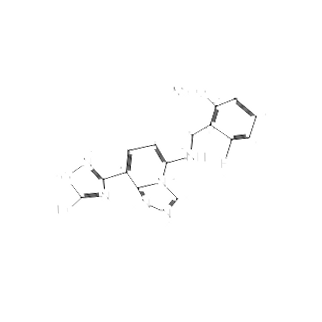 CCc1nc(-c2ccc(NCc3c(F)cccc3OC)n3cnnc23)no1